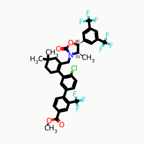 COC(=O)c1ccc(-c2ccc(Cl)c(C3=C(CN4C(=O)O[C@H](c5cc(C(F)(F)F)cc(C(F)(F)F)c5)[C@@H]4C)CC(C)(C)CC3)c2)c(C(F)(F)F)c1